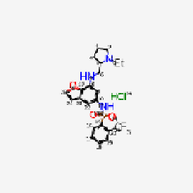 CCN1CCC[C@@H]1CNc1cc(NS(=O)(=O)c2ccccc2C(F)(F)F)cc2ccoc12.Cl